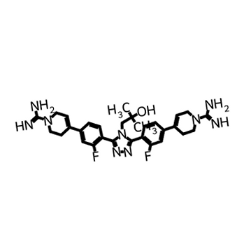 CC(C)(O)Cn1c(-c2ccc(C3=CCN(C(=N)N)CC3)cc2F)nnc1-c1ccc(C2=CCN(C(=N)N)CC2)cc1F